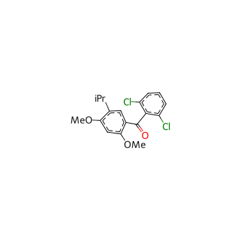 COc1cc(OC)c(C(C)C)cc1C(=O)c1c(Cl)cccc1Cl